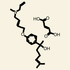 C=CCN(C)CC=CCOc1ccc(C(C)(O)CCC=C(C)C)cc1.O=C(O)C=CC(=O)O